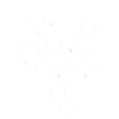 c1ccc2c(c1)Oc1ccc(N(c3ccc4ccccc4c3)c3cc(N(c4ccc5c(c4)Oc4ccccc4O5)c4ccc5ccccc5c4)c4c(c3)sc3ccccc34)cc1O2